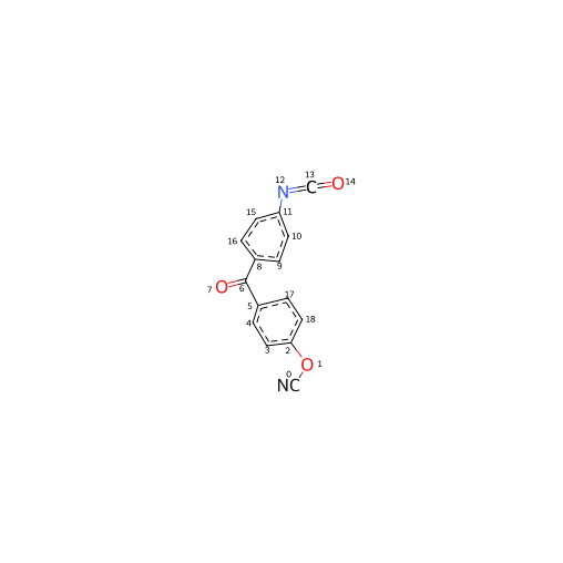 N#COc1ccc(C(=O)c2ccc(N=C=O)cc2)cc1